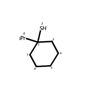 CC(C)C1(S)CCCCC1